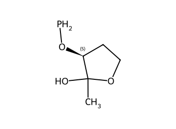 CC1(O)OCC[C@@H]1OP